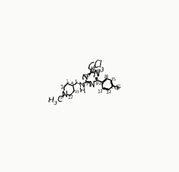 CN1CCC(CNc2nc(-c3ccc(F)cc3)nc(C(Cl)(Cl)Cl)n2)CC1